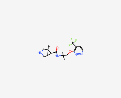 CC(C)(COc1nnccc1C(F)(F)F)NC(=O)C1C2CNC[C@H]21